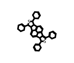 C1=CCCC(C2=C3c4ccc5c6c(ccc(c46)C3C(C3=CC=CCC3)S2)C2C(C3=CCCCC3)SC(C3CC=CCC3)C52)=C1